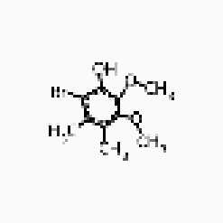 COc1c(C)c(C)c(Br)c(O)c1OC